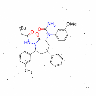 COc1cccc(N(C(N)=O)[C@@H]2C[C@H](c3ccccc3)CC(c3cccc(C)c3)N(NC(=O)CC(C)(C)C)C2=O)c1